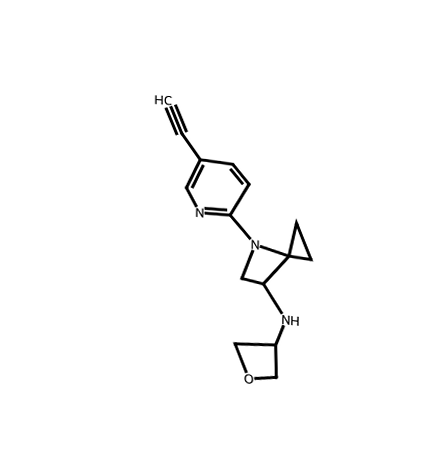 C#Cc1ccc(N2CC(NC3COC3)C23CC3)nc1